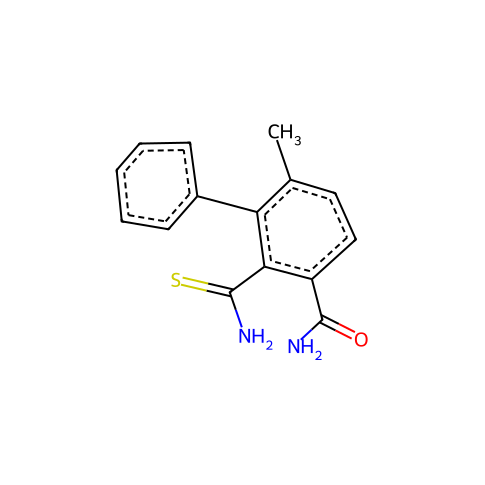 Cc1ccc(C(N)=O)c(C(N)=S)c1-c1ccccc1